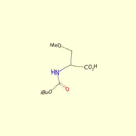 COCC(NC(=O)OCC(C)C)C(=O)O